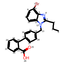 CCCc1nc2c(Br)cccc2n1Cc1ccc(-c2ccccc2C(=O)O)cc1